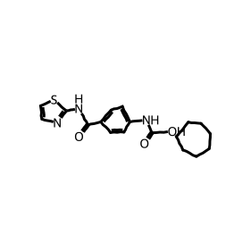 C1CCCCCC1.O=C(O)Nc1ccc(C(=O)Nc2nccs2)cc1